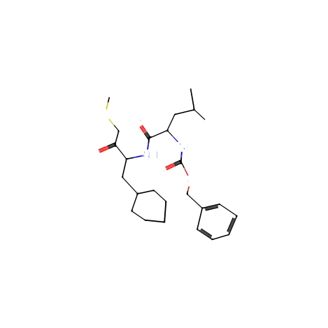 CSCC(=O)C(CC1CCCCC1)NC(=O)C(CC(C)C)NC(=O)OCc1ccccc1